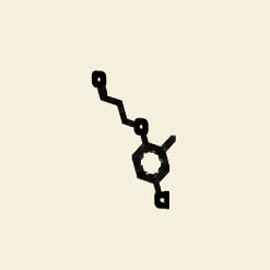 Cc1cc(Cl)ccc1OCCC=O